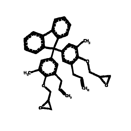 C=CCc1cc(C2(c3cc(C)c(OCC4CO4)c(CC=C)c3)c3ccccc3-c3ccccc32)cc(C)c1OCC1CO1